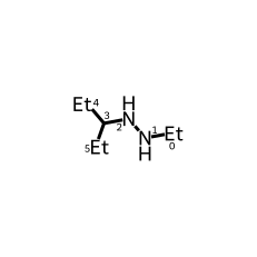 CCNNC(CC)CC